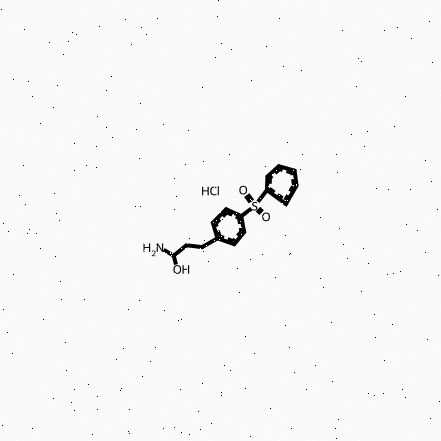 Cl.NC(O)CCc1ccc(S(=O)(=O)c2ccccc2)cc1